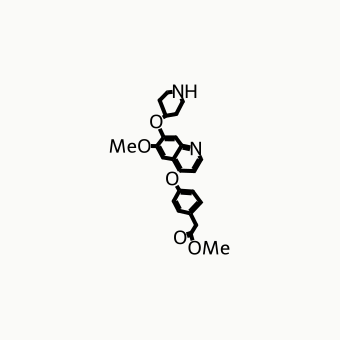 COC(=O)Cc1ccc(Oc2ccnc3cc(OC4CCNCC4)c(OC)cc23)cc1